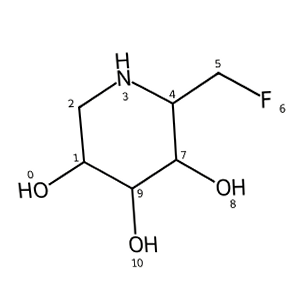 OC1CNC(CF)C(O)C1O